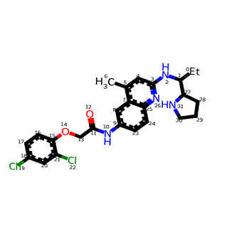 CCC(Nc1cc(C)c2cc(NC(=O)COc3ccc(Cl)cc3Cl)ccc2n1)C1CCCN1